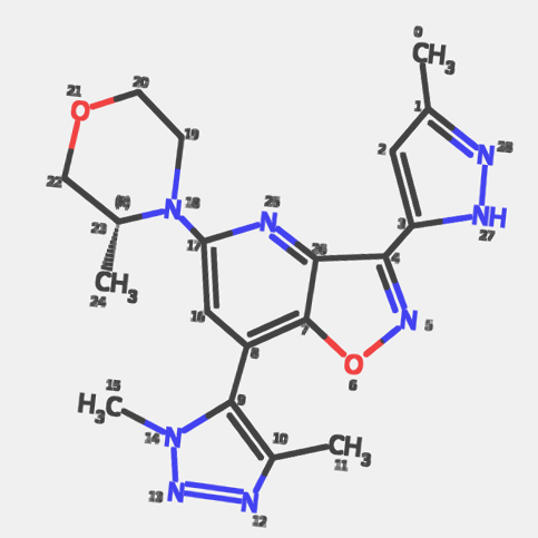 Cc1cc(-c2noc3c(-c4c(C)nnn4C)cc(N4CCOC[C@H]4C)nc23)[nH]n1